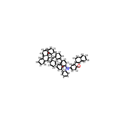 c1ccc(-c2ccccc2N(c2ccc(-c3cccc([Si](c4ccccc4)(c4ccccc4)c4cc5ccccc5c5ccccc45)c3)cc2)c2ccc3oc4c5ccccc5ccc4c3c2)cc1